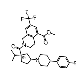 COC(=O)c1cc(C(F)(F)F)cc2c1CCN(C(=O)[C@@]1(C(C)C)CCC(N3CCC(c4ccc(F)cc4)CC3)C1)C2